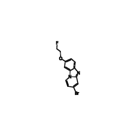 FCCOc1ccc2nc3cc(Br)ccn3c2c1